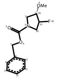 CO[C@H]1CN(C(=O)OCc2ccccc2)CC1F